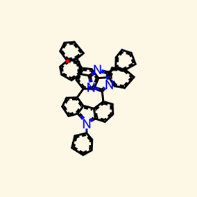 c1ccc(-c2cc(-c3ccccc3)cc(-c3cccc4c3c3c(-c5nc(-c6ccccc6)nc(-c6ccccc6)n5)cccc3n4-c3ccccc3)c2)cc1